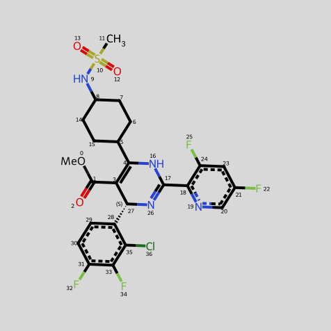 COC(=O)C1=C(C2CCC(NS(C)(=O)=O)CC2)NC(c2ncc(F)cc2F)=N[C@@H]1c1ccc(F)c(F)c1Cl